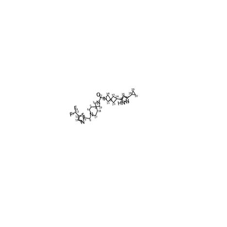 O=C(N1CC2(CCN(Cc3ncc(C(F)F)s3)CC2)C1)N1CC2(CC(c3cc(C4CC4)n[nH]3)C2)C1